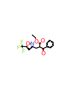 CCOC(=O)C(Cc1cc(C(F)(F)F)on1)C(=O)c1ccccc1